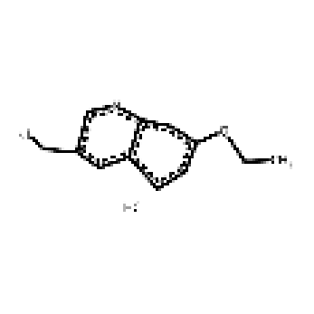 CCOc1ccc2cc(CCl)cnc2c1.Cl